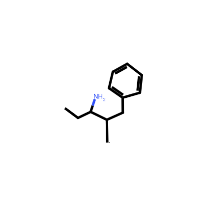 [CH2]C(Cc1ccccc1)C(N)CC